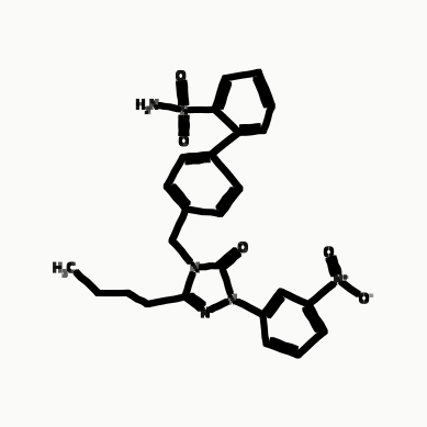 CCCCc1nn(-c2cccc([N+](=O)[O-])c2)c(=O)n1Cc1ccc(-c2ccccc2S(N)(=O)=O)cc1